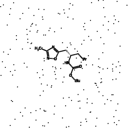 Cc1noc(C[C@H](CC(C)C)NC(=O)OC(C)(C)C)n1